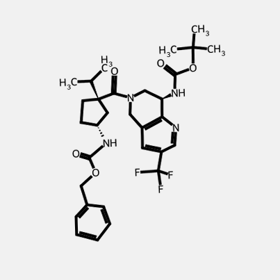 CC(C)[C@]1(C(=O)N2Cc3cc(C(F)(F)F)cnc3[C@H](NC(=O)OC(C)(C)C)C2)CC[C@@H](NC(=O)OCc2ccccc2)C1